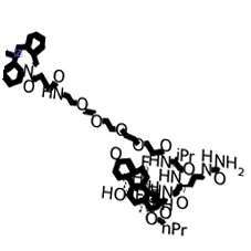 CCCC1O[C@@H]2C[C@H]3[C@@H]4C[C@H](F)C5=CC(=O)C=C[C@]5(C)[C@@]4(F)[C@@H](O)C[C@]3(C)[C@]2(C(=O)CNC(=O)[C@H](CCCNC(N)=O)NC(=O)[C@@H](NC(=O)CCOCCOCCOCCOCCNC(=O)CCC(=O)N2Cc3ccccc3/C=C(/C)c3ccccc32)C(C)C)O1